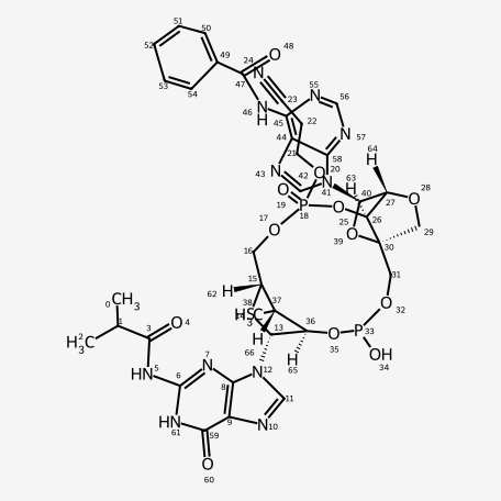 CC(C)C(=O)Nc1nc2c(ncn2[C@@H]2S[C@@H]3COP(=O)(OCCC#N)O[C@H]4[C@H]5OC[C@]4(COP(O)O[C@@H]2[C@@H]3C)O[C@H]5n2cnc3c(NC(=O)c4ccccc4)ncnc32)c(=O)[nH]1